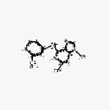 CC(C)n1cnc2c(Nc3ccnc(C(F)(F)F)c3)nc(Cl)nc21